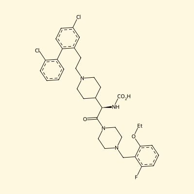 CCOc1cccc(F)c1CN1CCN(C(=O)[C@H](NC(=O)O)C2CCN(CCc3cc(Cl)ccc3-c3ccccc3Cl)CC2)CC1